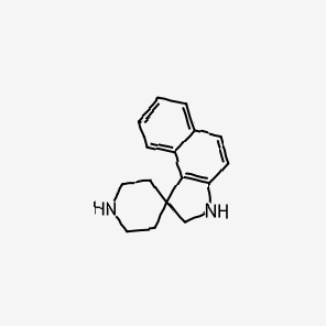 c1ccc2c3c(ccc2c1)NCC31CCNCC1